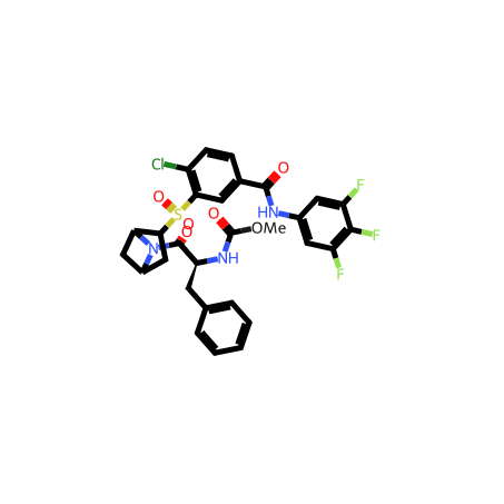 COC(=O)N[C@@H](Cc1ccccc1)C(=O)N1C2CC1C(S(=O)(=O)c1cc(C(=O)Nc3cc(F)c(F)c(F)c3)ccc1Cl)C2